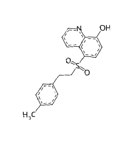 Cc1ccc(CCS(=O)(=O)c2ccc(O)c3ncccc23)cc1